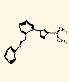 CN(C)C1=CC(c2ccccc2CC=Nc2ccccc2)C=C1